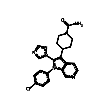 NC(=O)N1CCC(c2c(-n3cncn3)n(-c3ccc(Cl)cc3)c3cnccc23)CC1